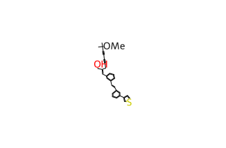 COC(C)(C)C#CC#CC/C(=C\c1cccc(/C=C/c2cccc(-c3ccsc3)c2)c1)CO